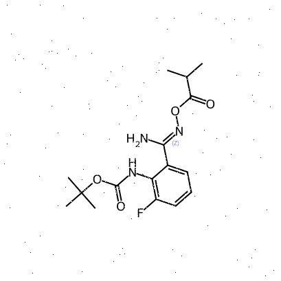 CC(C)C(=O)O/N=C(\N)c1cccc(F)c1NC(=O)OC(C)(C)C